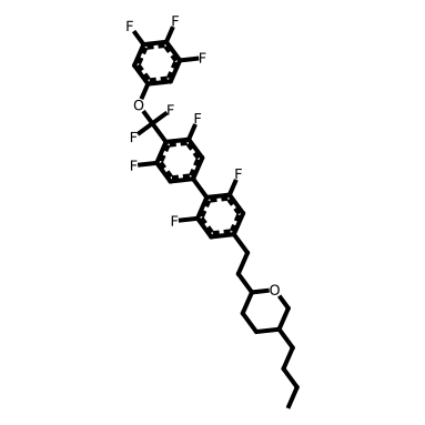 CCCCC1CCC(CCc2cc(F)c(-c3cc(F)c(C(F)(F)Oc4cc(F)c(F)c(F)c4)c(F)c3)c(F)c2)OC1